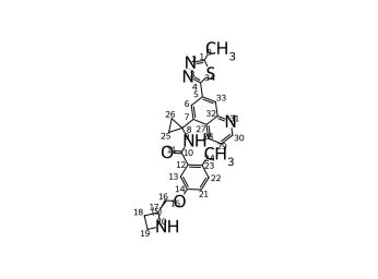 Cc1nnc(-c2cc(C3(NC(=O)c4cc(OC[C@@H]5CCN5)ccc4C)CC3)c3cccnc3c2)s1